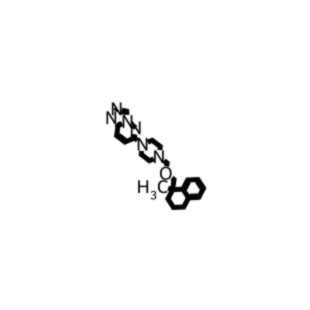 CC1(COCN2CCN(c3ccc4nncn4n3)CC2)CCCc2ccccc21